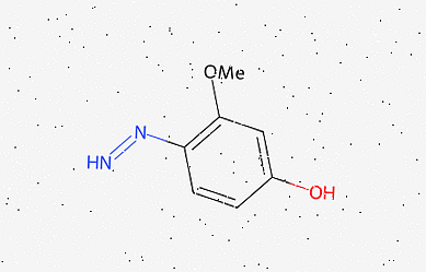 COc1cc(O)ccc1N=N